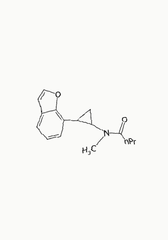 CCCC(=O)N(C)C1CC1c1cccc2ccoc12